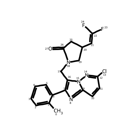 Cc1ccccc1-c1nc2ccc(Cl)nn2c1CN1CC(C=C(F)F)CC1=O